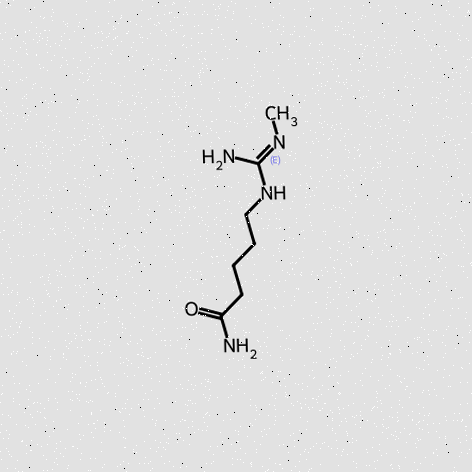 C/N=C(\N)NCCCCC(N)=O